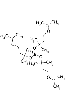 CC(C)OCCC(C)(C)OB(OC(C)(C)CCOC(C)C)OC(C)(C)CCON(C)C